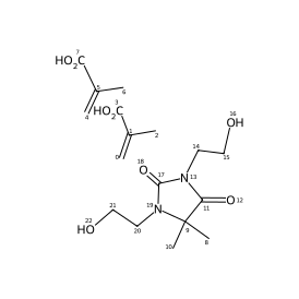 C=C(C)C(=O)O.C=C(C)C(=O)O.CC1(C)C(=O)N(CCO)C(=O)N1CCO